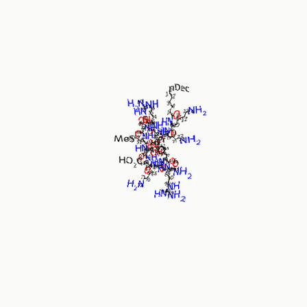 CCCCCCCCCCCCCCCC(=O)N[C@@H](CCCCN)C(=O)N[C@@H](CCCCN)C(=O)N[C@@H](CC(C)C)C(=O)N[C@@H](CCCNC(=N)N)C(=O)N[C@@H](CO)C(=O)N[C@@H](CCSC)C(=O)N[C@H](C(=O)N[C@@H](CC(=O)O)C(=O)N[C@@H](CCCCN)C(=O)N[C@@H](Cc1ccc(O)cc1)C(=O)N[C@@H](CCCNC(=N)N)C(N)=O)[C@@H](C)O